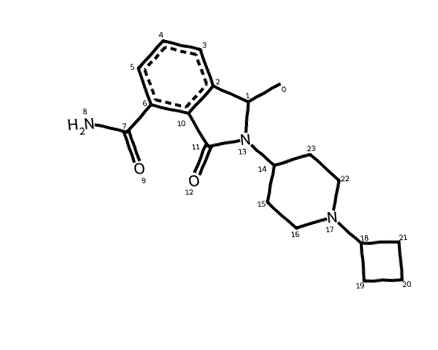 CC1c2cccc(C(N)=O)c2C(=O)N1C1CCN(C2CCC2)CC1